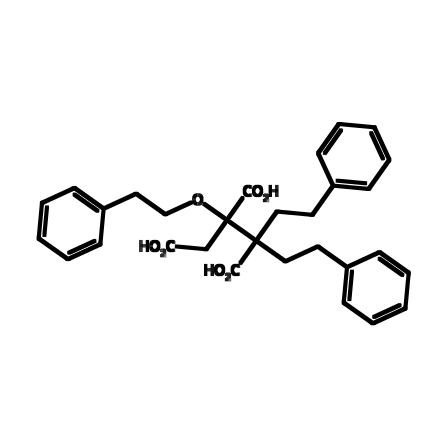 O=C(O)CC(OCCc1ccccc1)(C(=O)O)C(CCc1ccccc1)(CCc1ccccc1)C(=O)O